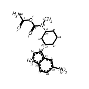 CN(C(=O)OC(N)=O)[C@@H]1CCC[C@H](c2c[nH]c3ccc([N+](=O)[O-])cc23)C1